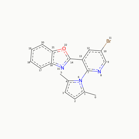 Cc1ccc(C)n1-c1ncc(Br)cc1-c1nc2ccccc2o1